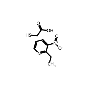 CCc1ncccc1[N+](=O)[O-].O=C(O)CS